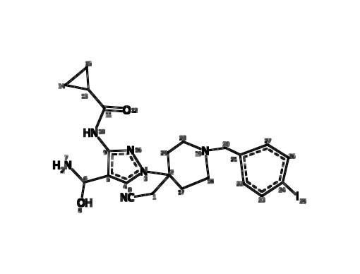 N#CCC1(n2cc(C(N)O)c(NC(=O)C3CC3)n2)CCN(Cc2ccc(I)cc2)CC1